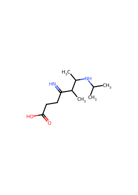 CC(C)NC(C)C(C)C(=N)CCC(=O)O